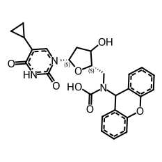 O=C(O)N(C[C@@H]1O[C@H](n2cc(C3CC3)c(=O)[nH]c2=O)CC1O)C1c2ccccc2Oc2ccccc21